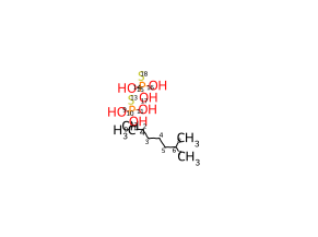 C.CCCCCC(C)C.OP(O)(O)=S.OP(O)(O)=S